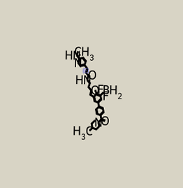 BC(F)(F)c1cc(-c2ccc(C(=O)N3CCC(C)CC3)cc2)cc2cc(CCNC(=O)/C=C/c3ccc(NC)nc3)oc12